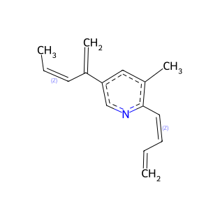 C=C/C=C\c1ncc(C(=C)/C=C\C)cc1C